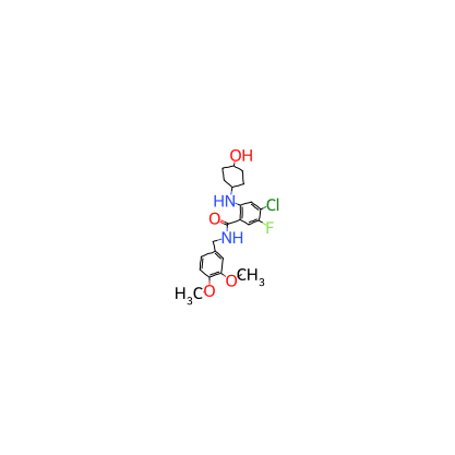 COc1ccc(CNC(=O)c2cc(F)c(Cl)cc2NC2CCC(O)CC2)cc1OC